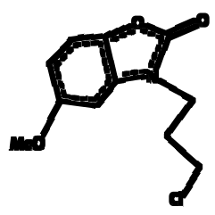 COc1ccc2oc(=O)n(CCCCl)c2c1